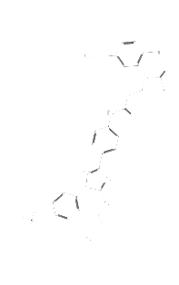 COc1ccc(C(C)C)c(N2C(=O)CSC2NC(=O)Nc2ccc(-c3nc(NCCC#N)n(-c4ccc(OC(F)(F)C(F)(F)F)cc4)n3)cc2)c1